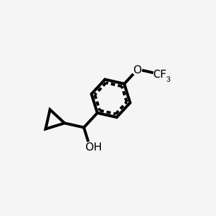 OC(c1ccc(OC(F)(F)F)cc1)C1CC1